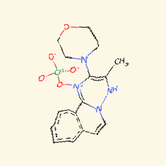 CC1=C(N2CCOCC2)[N+](O[Cl+3]([O-])([O-])[O-])=C2c3ccccc3C=CN2N1